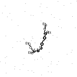 CCOCCOCCc1sc(-c2ccc(/C=C/c3ccc(-c4ccc(-c5ccc(-c6cc(OCC)c(CCOCCOCC)s6)s5)s4)cc3)cc2)cc1OCC